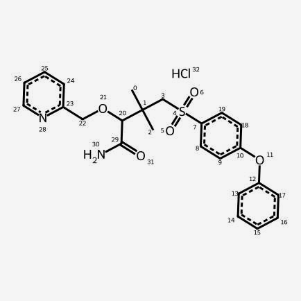 CC(C)(CS(=O)(=O)c1ccc(Oc2ccccc2)cc1)C(OCc1ccccn1)C(N)=O.Cl